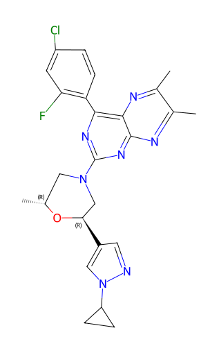 Cc1nc2nc(N3C[C@@H](C)O[C@H](c4cnn(C5CC5)c4)C3)nc(-c3ccc(Cl)cc3F)c2nc1C